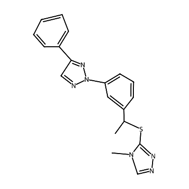 CC(Sc1nncn1C)c1cccc(-n2ncc(-c3ccccc3)n2)c1